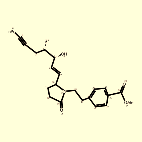 CCCC#CC[C@H](C)[C@H](O)C=CC1CCC(=O)N1CCc1ccc(C(=O)OC)cc1